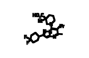 CC[C@@]1(C(=O)O)CCCN(c2c(C(C)C)c(C)nc3cc(C4CCC(F)(F)CC4)nn23)C1